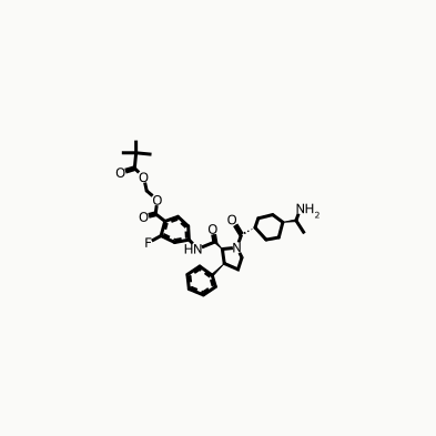 CC(N)[C@H]1CC[C@H](C(=O)N2CC[C@@H](c3ccccc3)[C@H]2C(=O)Nc2ccc(C(=O)OCOC(=O)C(C)(C)C)c(F)c2)CC1